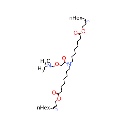 CCCCCC/C=C\COC(=O)CCCCCCCN(CCCCCCCC(=O)OC/C=C\CCCCCC)C(=O)COCN(C)C